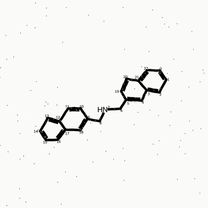 c1ccc2cc(CNCc3ccc4ccccc4c3)ccc2c1